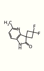 Cc1ccc2c(n1)C1(CC(F)(F)C1)C(=O)N2